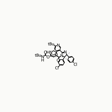 CCOc1cc(C(C)(C)C)ncc1C1=N[C@@](C)(c2ccc(Cl)cc2)[C@@](C)(c2ccc(Cl)cc2)N1C(=O)N1CCN[C@@H](OC(=O)NC(C)(C)C)C1